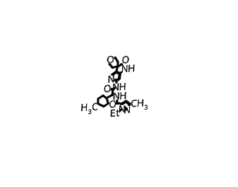 CCn1nc(C)cc1C(=O)NC(C(=O)Nc1cc2c(cn1)C1(CCOCC1)C(=O)N2)C1CCC(C)CC1